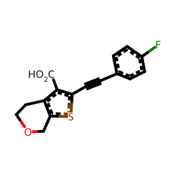 O=C(O)c1c(C#Cc2ccc(F)cc2)sc2c1CCOC2